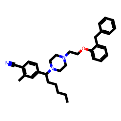 CCCCCC(c1ccc(C#N)c(C)c1)N1CCN(CCOc2ccccc2Cc2ccccc2)CC1